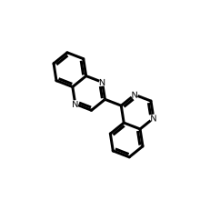 c1ccc2nc(-c3ncnc4ccccc34)cnc2c1